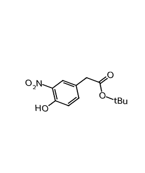 CC(C)(C)OC(=O)Cc1ccc(O)c([N+](=O)[O-])c1